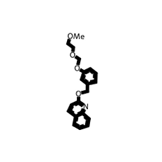 COCCOCOc1cccc(COc2ccc3ccccc3n2)c1